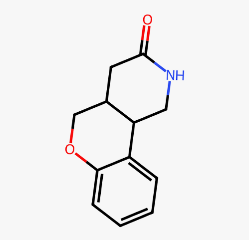 O=C1CC2COc3ccccc3C2CN1